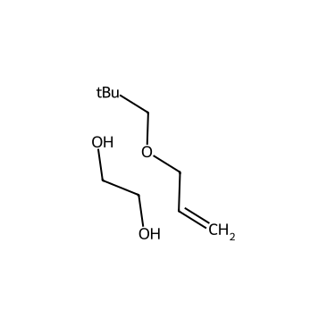 C=CCOCC(C)(C)C.OCCO